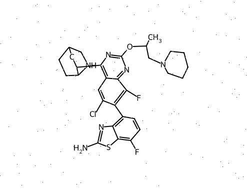 CC(CN1CCCCC1)Oc1nc(C2CC3CCC2NC3)c2cc(Cl)c(-c3ccc(F)c4sc(N)nc34)c(F)c2n1